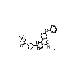 CC(C)(C)OC(=O)N1CCC(c2ncc(C(N)=O)c(-c3ccc(Oc4ccccc4)cc3)n2)C1